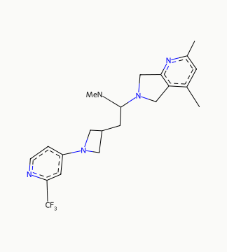 CNC(CC1CN(c2ccnc(C(F)(F)F)c2)C1)N1Cc2nc(C)cc(C)c2C1